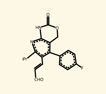 CC(C)c1nc2c(c(-c3ccc(F)cc3)c1C=CC=O)COC(=O)N2